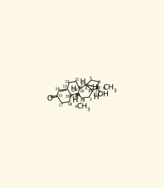 C[C@H]1C[C@H]2[C@@H](CC[C@@]2(C)O)[C@@H]2CCC3=CC(=O)CC[C@@H]3[C@H]21